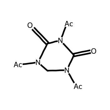 CC(=O)N1CN(C(C)=O)C(=O)N(C(C)=O)C1=O